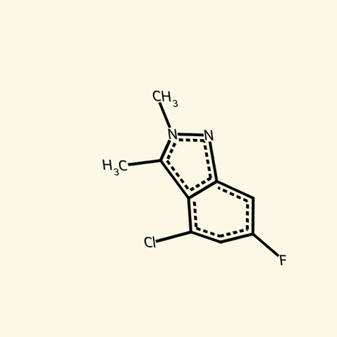 Cc1c2c(Cl)cc(F)cc2nn1C